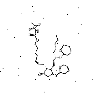 CCCCC[C@@H](/C=C/[C@H]1[C@H](OC2CCCCO2)CC(=O)[C@@H]1C/C=C\CCCCOC(=O)NS(C)(=O)=O)OC1CCCCO1